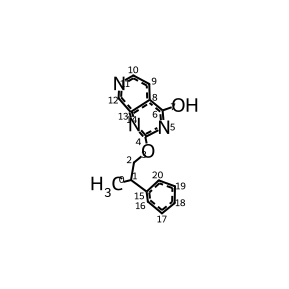 CC(COc1nc(O)c2ccncc2n1)c1ccccc1